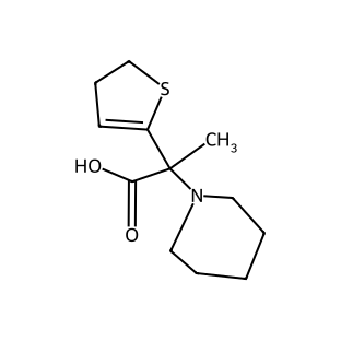 CC(C(=O)O)(C1=CCCS1)N1CCCCC1